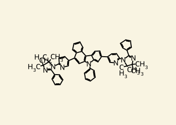 CC1(C)N=C(c2ccccc2)N(c2ccc(-c3ccc4c5c6ccccc6c(-c6ccc(N7C(c8ccccc8)=NC(C)(C)C7(C)C)nc6)cc5n(-c5ccccc5)c4c3)cn2)C1(C)C